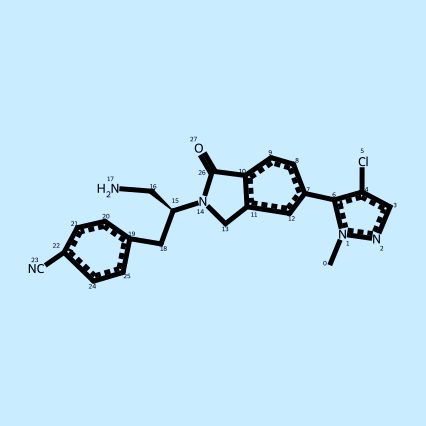 Cn1ncc(Cl)c1-c1ccc2c(c1)CN([C@H](CN)Cc1ccc(C#N)cc1)C2=O